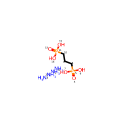 N.N.N.N.O=P(O)(O)CCCP(=O)(O)O